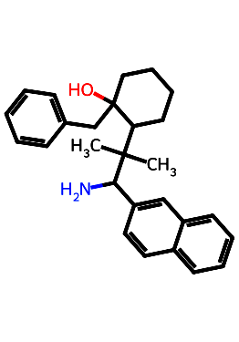 CC(C)(C(N)c1ccc2ccccc2c1)C1CCCCC1(O)Cc1ccccc1